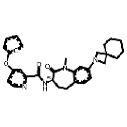 CN1C(=O)[C@H](NC(=O)c2cc(Oc3ccccc3)ccn2)CCc2ccc(N3CC4(CCCCC4)C3)cc21